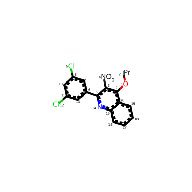 CC(C)Oc1c([N+](=O)[O-])c(-c2cc(Cl)cc(Cl)c2)nc2ccccc12